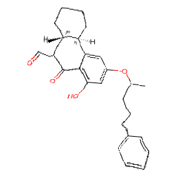 CC(CCCc1ccccc1)Oc1cc(O)c2c(c1)[C@@H]1CCCC[C@H]1C(C=O)C2=O